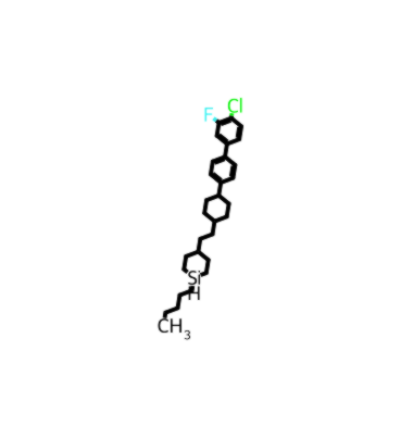 CCCCC[SiH]1CCC(CCC2CCC(c3ccc(-c4ccc(Cl)c(F)c4)cc3)CC2)CC1